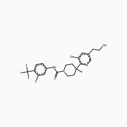 O=C(Nc1ccc(C(F)(F)F)c(F)c1)N1CCC(F)(c2ncc(CCO)cc2Cl)CC1